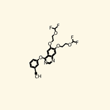 C#Cc1cccc(Oc2ncnc3cc(OCCOC(F)F)c(OCCOC(F)F)cc23)c1